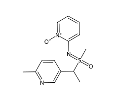 Cc1ccc(C(C)S(C)(=O)=Nc2cccc[n+]2[O-])cn1